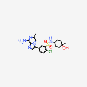 Cc1cn2c(-c3ccc(Cl)c(S(=O)(=O)NC4CCC(C)(O)CC4)c3)cnc2c(N)n1